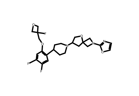 Fc1cc(OCC2(F)COC2)c(C2CCN(C3COC4(C3)CN(c3ncco3)C4)CC2)cc1F